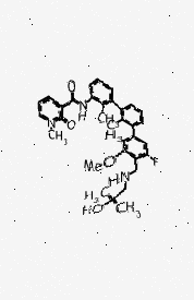 COc1cc(-c2cccc(-c3cccc(NC(=O)c4cccn(C)c4=O)c3C)c2C)cc(F)c1CNCC(C)(C)O